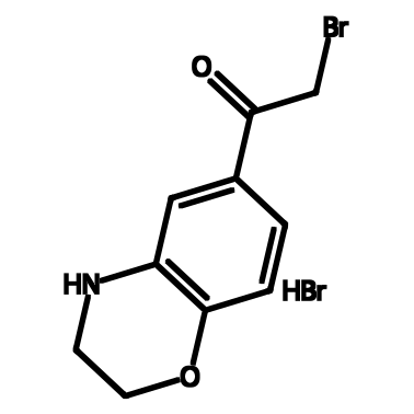 Br.O=C(CBr)c1ccc2c(c1)NCCO2